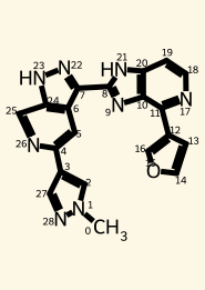 Cn1cc(-c2cc3c(-c4nc5c(-c6ccoc6)nccc5[nH]4)n[nH]c3cn2)cn1